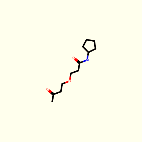 CC(=O)CCOCCC(=O)NC1CCCC1